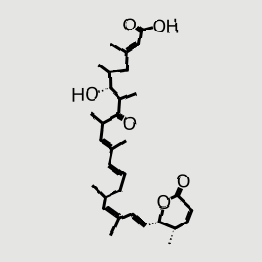 CC(=C/C(C)C/C=C/C(C)=C/C(C)C(=O)C(C)[C@H](O)C(C)C/C(C)=C/C(=O)O)/C=C/[C@@H]1OC(=O)C=C[C@@H]1C